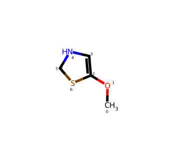 COC1=CN[C]S1